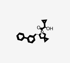 O=C([C@H](O)C1CC1)N1CC2(CC2)C[C@@H]1Cc1cccc(-c2ccccc2)c1